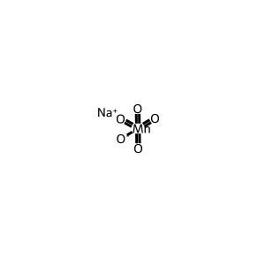 [Na+].[O]=[Mn](=[O])(=[O])(=[O])[O-]